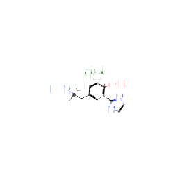 C[C@@](N)(Cc1ccc(O)c(-c2ncc[nH]2)c1)C(=O)O.Cl.Cl